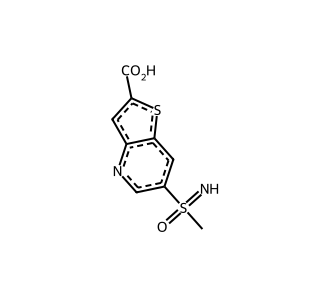 CS(=N)(=O)c1cnc2cc(C(=O)O)sc2c1